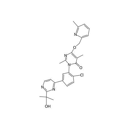 Cc1cccc(COc2nc(C)n(-c3cc(-c4ccnc(C(C)(C)O)n4)ccc3Cl)c(=O)c2C)n1